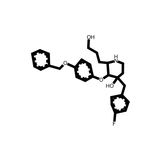 OCCCC1NCCC(O)(Cc2ccc(F)cc2)C1Oc1ccc(OCc2ccccc2)cc1